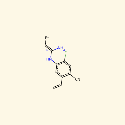 C=Cc1cc(N/C(N)=C/CC)c(F)cc1C#N